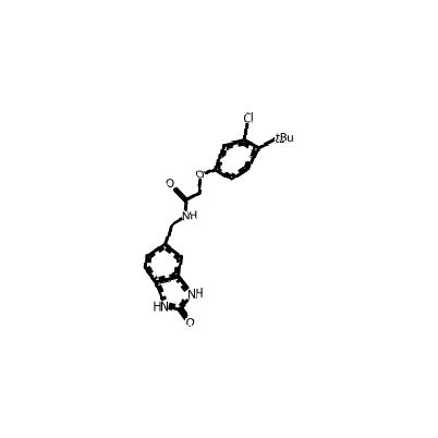 CC(C)(C)c1ccc(OCC(=O)NCc2ccc3[nH]c(=O)[nH]c3c2)cc1Cl